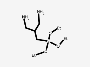 CCO[Si](CC(CN)CN)(OCC)OCC